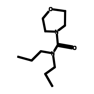 CCCN(CCC)C(=O)N1CCOCC1